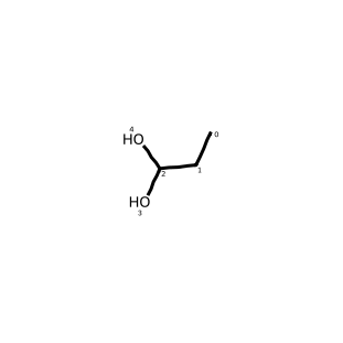 [CH2]C[C](O)O